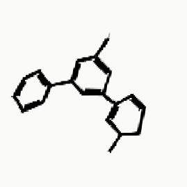 CC1C=C(c2cc(I)cc(-c3ccccc3)c2)C=CC1